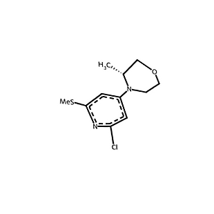 CSc1cc(N2CCOC[C@H]2C)cc(Cl)n1